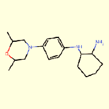 CC1CN(c2ccc(NC3CCCCC3N)cc2)CC(C)O1